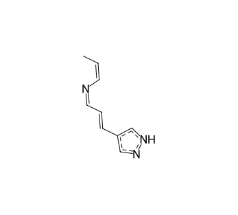 C\C=C/N=C\C=C\c1cn[nH]c1